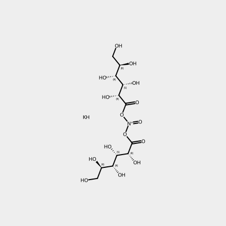 O=C(O[N+](=O)OC(=O)[C@H](O)[C@@H](O)[C@H](O)[C@H](O)CO)[C@H](O)[C@@H](O)[C@H](O)[C@H](O)CO.[KH]